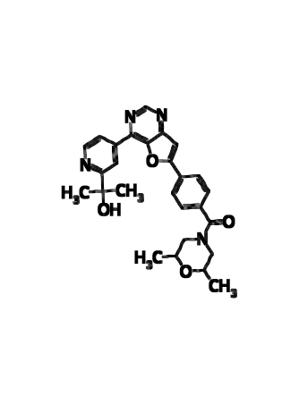 CC1CN(C(=O)c2ccc(-c3cc4ncnc(-c5ccnc(C(C)(C)O)c5)c4o3)cc2)CC(C)O1